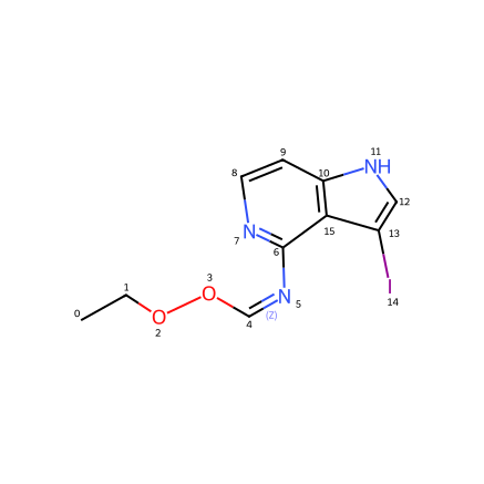 CCOO/C=N\c1nccc2[nH]cc(I)c12